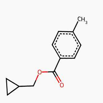 Cc1ccc(C(=O)OCC2CC2)cc1